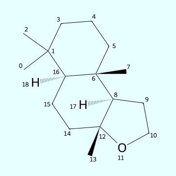 CC1(C)CCC[C@]2(C)[C@H]3CCO[C@]3(C)CC[C@@H]12